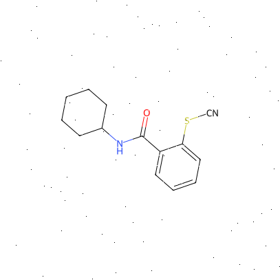 N#CSc1ccccc1C(=O)NC1CCCCC1